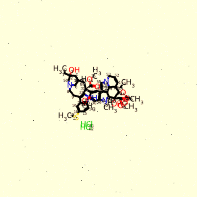 CC[C@]1(O)C[C@@H]2CN(CCc3c([nH]c4ccc(SC)cc34)[C@@](C(=O)OC)(c3cc4c(cc3OC)N(C)[C@H]3[C@@](O)(C(=O)OC)[C@H](OC(C)=O)[C@]5(CC)C=CCN6CC[C@]43[C@@H]65)C2)C1.Cl.Cl